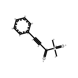 CP(C)(=O)C(=O)C#Cc1ccccc1